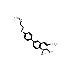 CCCCOCCOc1ccc(-c2ccc(N(CCC)CC(C)C)c(/C=C/C(=O)O)c2)cc1